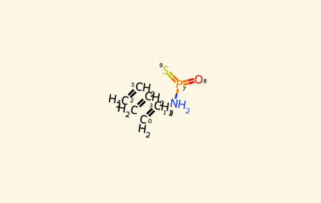 C=C.C=C.C=C.NP(=O)=S